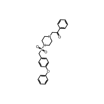 O=C(CN1CCN(S(=O)(=O)Cc2ccc(Oc3ccccc3)cc2)CC1)c1ccccc1